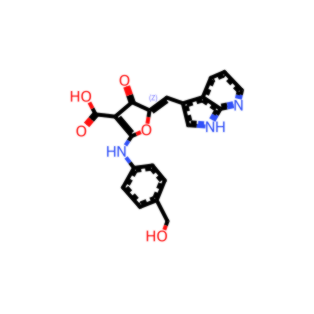 O=C(O)C1=C(Nc2ccc(CO)cc2)O/C(=C\c2c[nH]c3ncccc23)C1=O